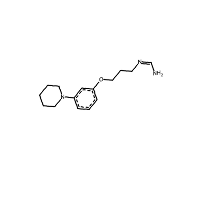 N/C=N\CCCOc1cccc(N2CCCCC2)c1